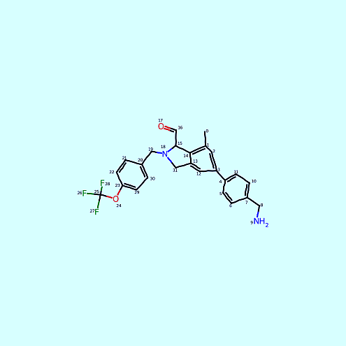 Cc1cc(-c2ccc(CN)cc2)cc2c1C(C=O)N(Cc1ccc(OC(F)(F)F)cc1)C2